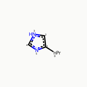 [CH2]CCc1c[nH]cn1